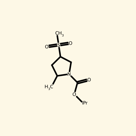 CC(C)OC(=O)N1CC(S(C)(=O)=O)CC1C